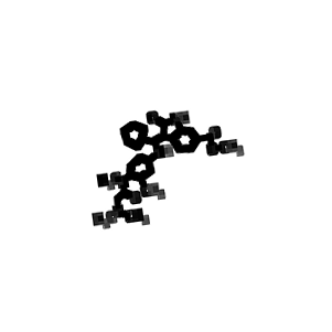 COC(=O)c1ccc2c(c1)NC(=O)/C2=C(/Nc1ccc(N(C)C(=O)CN(C)C)c(C)c1)c1ccccc1